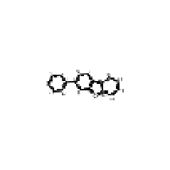 c1ccc(-c2ccc3c(c2)oc2ccccc23)cc1